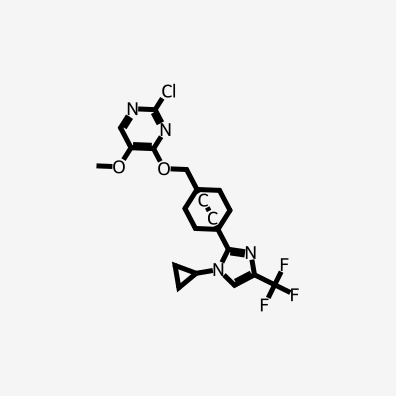 COc1cnc(Cl)nc1OCC12CCC(c3nc(C(F)(F)F)cn3C3CC3)(CC1)CC2